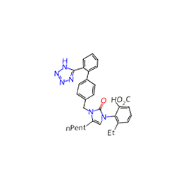 CCCCCc1cn(-c2c(CC)cccc2C(=O)O)c(=O)n1Cc1ccc(-c2ccccc2-c2nnn[nH]2)cc1